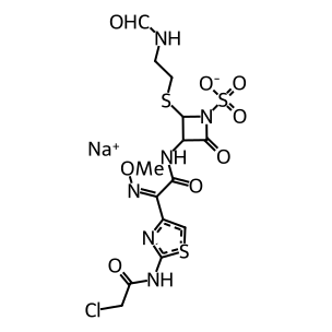 CON=C(C(=O)NC1C(=O)N(S(=O)(=O)[O-])C1SCCNC=O)c1csc(NC(=O)CCl)n1.[Na+]